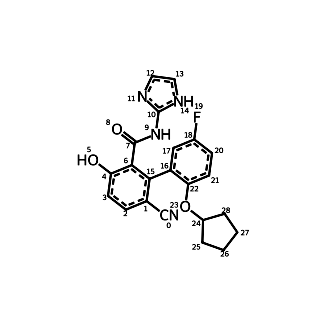 N#Cc1ccc(O)c(C(=O)Nc2ncc[nH]2)c1-c1cc(F)ccc1OC1CCCC1